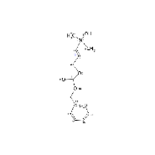 C[N+](C)(O)/C=C/COC(=O)OCc1ccccc1